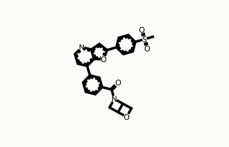 CS(=O)(=O)c1ccc(-c2cc3nccc(-c4cccc(C(=O)N5CC6OCC65)c4)c3o2)cc1